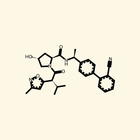 Cc1cc([C@H](C(=O)N2C[C@H](O)C[C@H]2C(=O)N[C@@H](C)c2ccc(-c3ccccc3C#N)cc2)C(C)C)on1